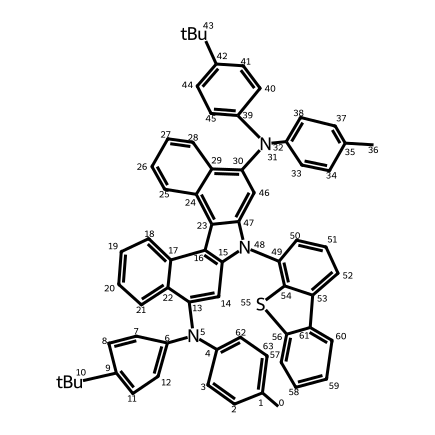 Cc1ccc(N(c2ccc(C(C)(C)C)cc2)c2cc3c(c4ccccc24)c2c4ccccc4c(N(c4ccc(C)cc4)c4ccc(C(C)(C)C)cc4)cc2n3-c2cccc3c2sc2ccccc23)cc1